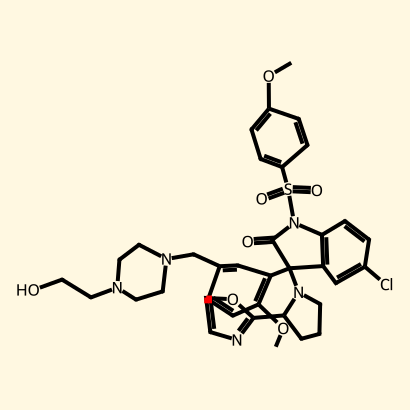 COc1ccc(S(=O)(=O)N2C(=O)C(c3cc(CN4CCN(CCO)CC4)ccc3OC)(N3CCCC3c3ncco3)c3cc(Cl)ccc32)cc1